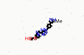 CN/C=C(\C=N)c1ccc(CNc2cc(-c3cnc4cc(OCCO)ccn34)ncn2)cc1